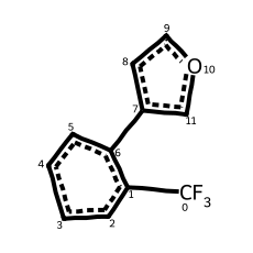 FC(F)(F)c1ccccc1-c1c[c]oc1